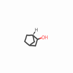 OC1CC2CC[C@H]1C2